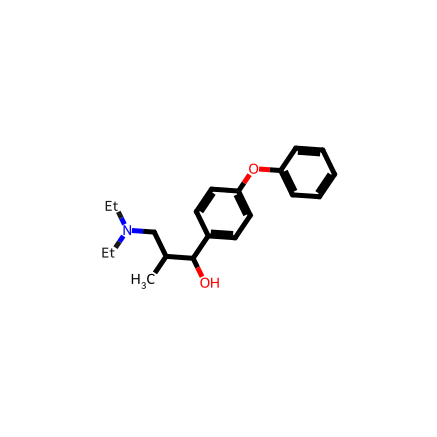 CCN(CC)CC(C)C(O)c1ccc(Oc2ccccc2)cc1